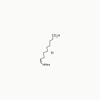 CCCCCC/C=C\CCCCCCCC(=O)O.[Er]